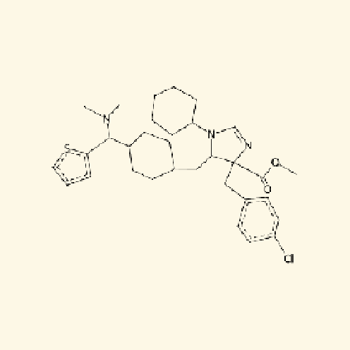 COC(=O)C1(Cc2ccc(Cl)cc2)N=CN(C2CCCCC2)C1CC1CCC(C(c2cccs2)N(C)C)CC1